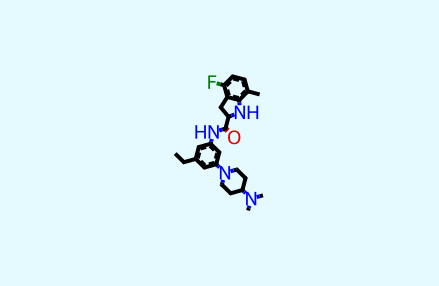 CCc1cc(NC(=O)C2Cc3c(F)ccc(C)c3N2)cc(N2CCC(N(C)C)CC2)c1